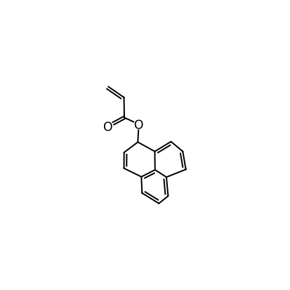 C=CC(=O)OC1C=Cc2cccc3cccc1c23